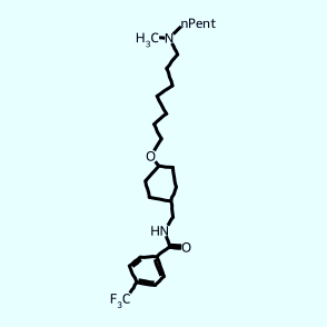 CCCCCN(C)CCCCCCCOC1CCC(CNC(=O)c2ccc(C(F)(F)F)cc2)CC1